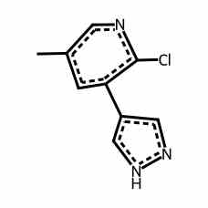 Cc1cnc(Cl)c(-c2cn[nH]c2)c1